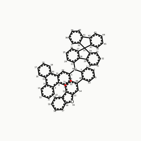 c1ccc(N(c2ccc3c4ccccc4c4ccccc4c3c2)c2cccc3c2-c2ccccc2C32c3ccccc3-c3ccccc32)c(-c2ccc3c(c2)oc2ccccc23)c1